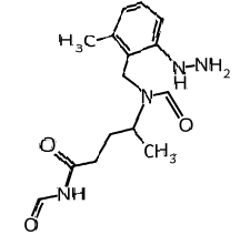 Cc1cccc(NN)c1CN(C=O)C(C)CCC(=O)NC=O